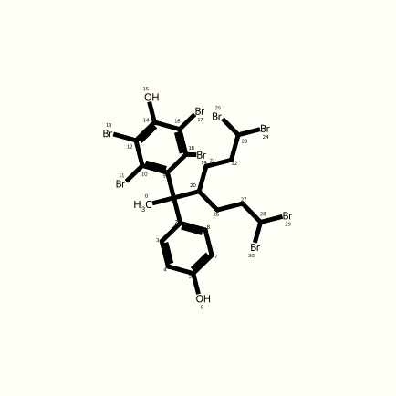 CC(c1ccc(O)cc1)(c1c(Br)c(Br)c(O)c(Br)c1Br)C(CCC(Br)Br)CCC(Br)Br